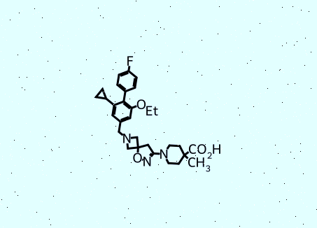 CCOc1cc(CN2CC3(CC(N4CCC(C)(C(=O)O)CC4)=NO3)C2)cc(C2CC2)c1-c1ccc(F)cc1